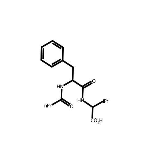 CCCC(=O)NC(Cc1ccccc1)C(=O)NC(C(=O)O)C(C)C